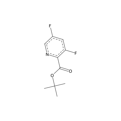 CC(C)(C)OC(=O)c1ncc(F)cc1F